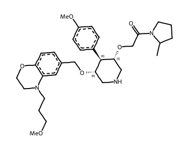 COCCCN1CCOc2ccc(CO[C@H]3CNC[C@@H](OCC(=O)N4CCCC4C)[C@@H]3c3ccc(OC)cc3)cc21